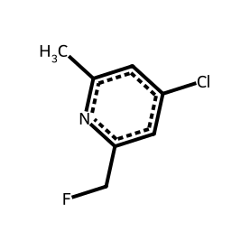 Cc1cc(Cl)cc(CF)n1